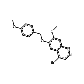 COc1ccc(COc2cc3c(Br)cnnc3cc2OC)cc1